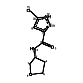 O=C(N[C@H]1CCOC1)c1cc(Cl)[nH]n1